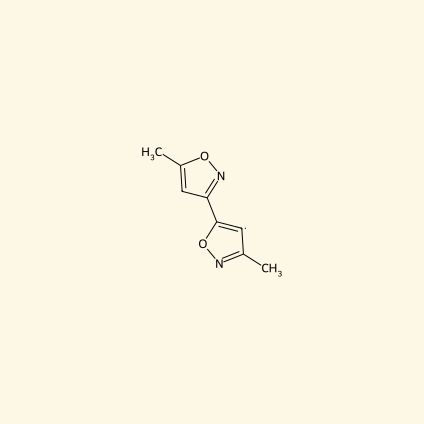 Cc1[c]c(-c2cc(C)on2)on1